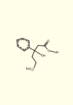 CCCOC(=O)CC(O)(CCC(=O)OCC)c1ccccc1